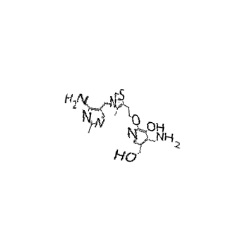 Cc1ncc(C[n+]2csc(CCOc3ncc(CO)c(CN)c3O)c2C)c(N)n1